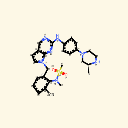 C[C@H]1CN(c2ccc(Nc3ncc4ccn(Cc5cccc(C#N)c5N(C)S(C)(=O)=O)c4n3)cc2)CCN1